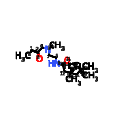 CCC(=O)CN(C)CCNC(=O)CC(C)(C)CC(C)(C)C